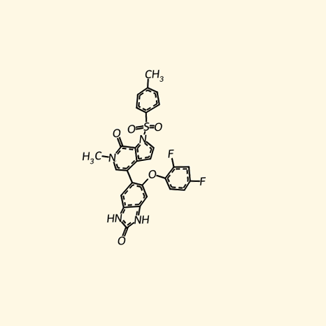 Cc1ccc(S(=O)(=O)n2ccc3c(-c4cc5[nH]c(=O)[nH]c5cc4Oc4ccc(F)cc4F)cn(C)c(=O)c32)cc1